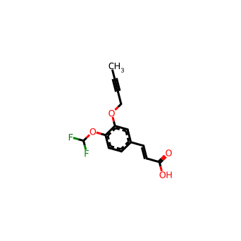 CC#CCOc1cc(C=CC(=O)O)ccc1OC(F)F